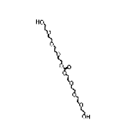 O=C(OCCOCCOCCOCCO)OCCOCCOCCOCCO